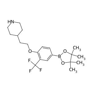 CC1(C)OB(c2ccc(OCCC3CCNCC3)c(C(F)(F)F)c2)OC1(C)C